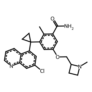 Cc1c(C(N)=O)cc(OCC2CCN2C)cc1C1(c2cc(Cl)cc3ncccc23)CC1